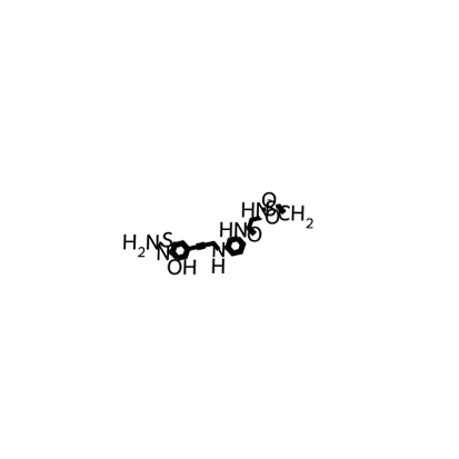 C=CS(=O)(=O)NCCC(=O)Nc1cccc(NCC#Cc2cc(O)c3nc(N)sc3c2)c1